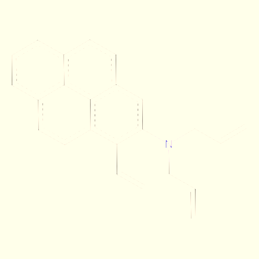 C=CCN(CC=C)c1cc2ccc3cccc4ccc(c1C=C)c2c34